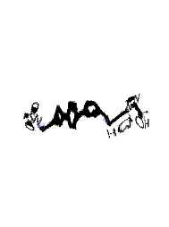 C[C@H](O)c1nccn1[C@@H](/C=C/c1ccc(-c2ccc(C3CC(/C=N/S(C)(=O)=O)C3)cc2)cc1)CO